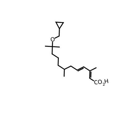 CC(C=CCC(C)CCCC(C)(C)OCC1CC1)=CC(=O)O